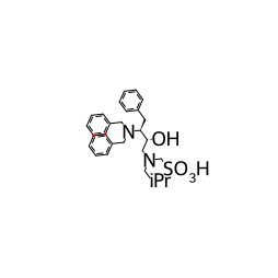 CC(C)CN(C[C@@H](O)[C@H](Cc1ccccc1)N(Cc1ccccc1)Cc1ccccc1)CS(=O)(=O)O